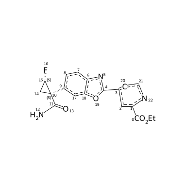 CCOC(=O)c1cc(-c2nc3ccc([C@]4(C(N)=O)C[C@@H]4F)cc3o2)ccn1